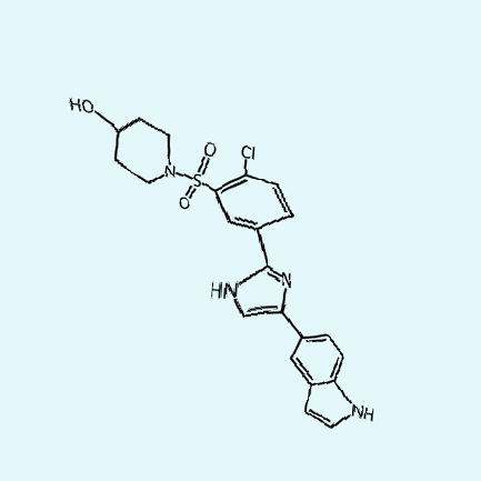 O=S(=O)(c1cc(-c2nc(-c3ccc4[nH]ccc4c3)c[nH]2)ccc1Cl)N1CCC(O)CC1